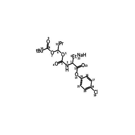 CCC(NC(=O)OC(OC(=O)C(C)(C)C)C(C)C)C(=O)Oc1ccc(Cl)cc1.[NaH]